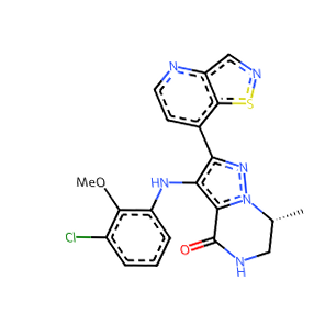 COc1c(Cl)cccc1Nc1c(-c2ccnc3cnsc23)nn2c1C(=O)NC[C@H]2C